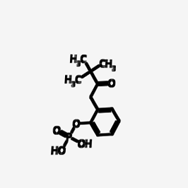 CC(C)(C)C(=O)Cc1ccccc1OP(=O)(O)O